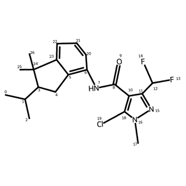 CC(C)C1Cc2c(NC(=O)c3c(C(F)F)nn(C)c3Cl)cccc2C1(C)C